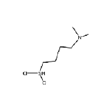 CN(C)CCCC[SiH](Cl)Cl